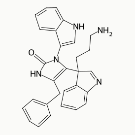 NCCCC1(c2c(Cc3ccccc3)[nH]c(=O)n2-c2c[nH]c3ccccc23)C=Nc2ccccc21